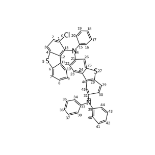 Clc1ccc2sc3ccccc3c2c1N(c1ccccc1)c1ccc2c(c1)sc1ccc(N(c3ccccc3)c3ccccc3)cc12